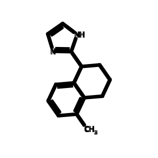 Cc1cccc2c1CCCC2c1ncc[nH]1